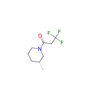 C[C@@H]1CCCN(C(=O)CC(F)(F)F)C1